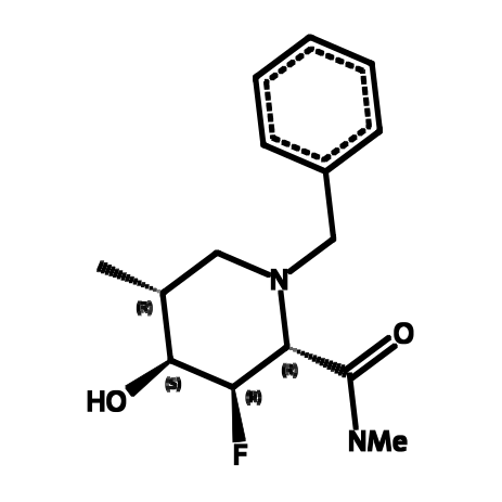 CNC(=O)[C@@H]1[C@@H](F)[C@@H](O)[C@H](C)CN1Cc1ccccc1